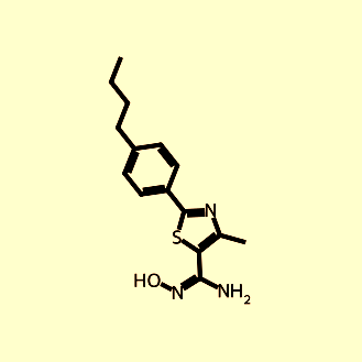 CCCCc1ccc(-c2nc(C)c(/C(N)=N\O)s2)cc1